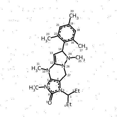 CCC(CC)n1c2c(n(C)c1=O)N(C)C1=CC(c3c(C)cc(C)cc3C)N(C)N1C2